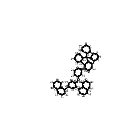 c1ccc(C2(c3ccccc3)c3ccccc3-c3c(-c4cccc(N(c5ccc(-c6cccc7ccccc67)cc5)c5cccc6ccccc56)c4)cccc32)cc1